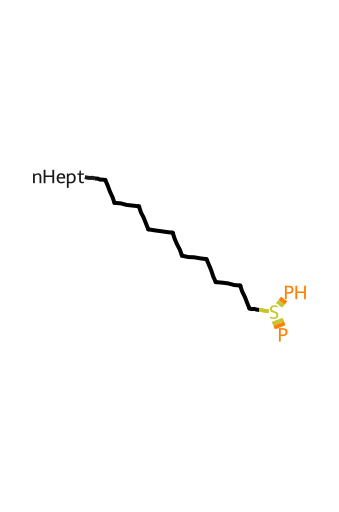 CCCCCCCCCCCCCCCCCS(#P)=P